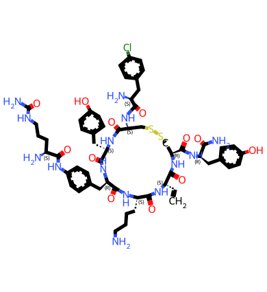 C=C[C@@H]1NC(=O)[C@H](CCCCN)NC(=O)[C@@H](Cc2ccc(NC(=O)[C@@H](N)CCCNC(N)=O)cc2)NC(=O)[C@H](Cc2ccc(O)cc2)NC(=O)[C@H](NC(=O)[C@@H](N)Cc2ccc(Cl)cc2)CSSC[C@@H](C(=O)N[C@H](Cc2ccc(O)cc2)C(N)=O)NC1=O